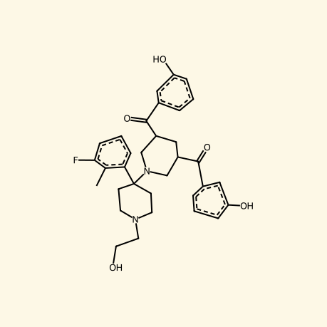 Cc1c(F)cccc1C1(N2CC(C(=O)c3cccc(O)c3)CC(C(=O)c3cccc(O)c3)C2)CCN(CCO)CC1